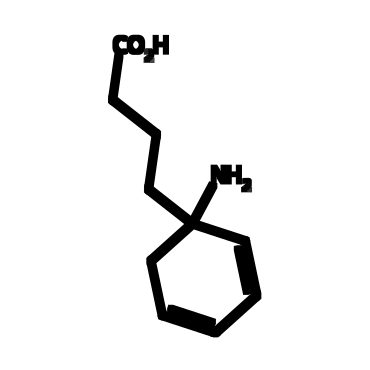 NC1(CCCC(=O)O)C=CC=CC1